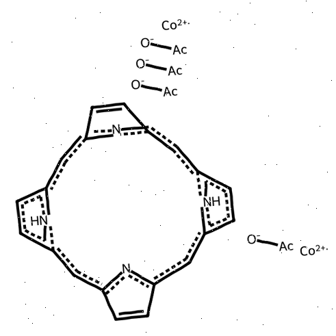 C1=Cc2cc3ccc(cc4nc(cc5ccc(cc1n2)[nH]5)C=C4)[nH]3.CC(=O)[O-].CC(=O)[O-].CC(=O)[O-].CC(=O)[O-].[Co+2].[Co+2]